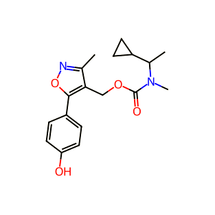 Cc1noc(-c2ccc(O)cc2)c1COC(=O)N(C)C(C)C1CC1